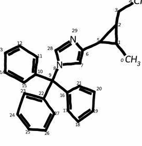 CC1C(CC#N)C1c1cn(C(c2ccccc2)(c2ccccc2)c2ccccc2)cn1